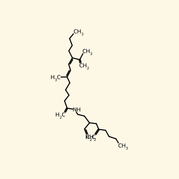 C=CC(CCNC(=C)CCCC/C(C)=C/C=C(/CCCC)C(=C)C)CC(=C)CCCC